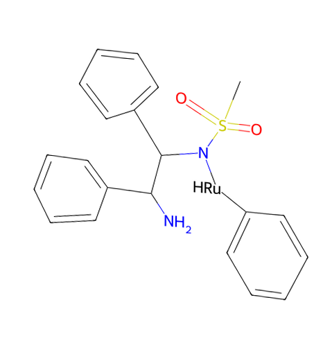 CS(=O)(=O)[N]([RuH][c]1ccccc1)C(c1ccccc1)C(N)c1ccccc1